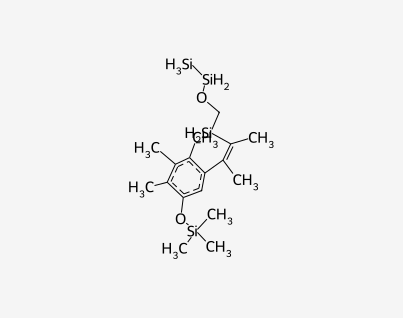 CC([SiH2]CO[SiH2][SiH3])=C(C)c1cc(O[Si](C)(C)C)c(C)c(C)c1C